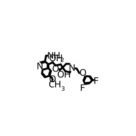 COc1ccc2ncc(CN)c(C(O)CCC3(C(=O)O)CCN(CCOc4cc(F)cc(F)c4)CC3)c2c1